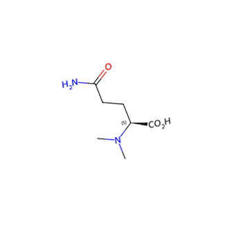 CN(C)[C@@H](CCC(N)=O)C(=O)O